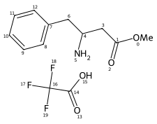 COC(=O)CC(N)Cc1ccccc1.O=C(O)C(F)(F)F